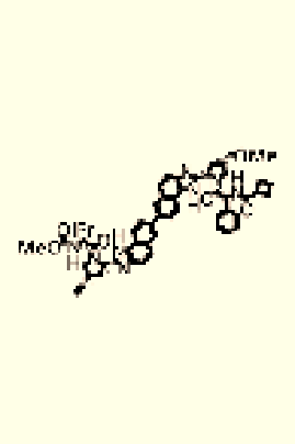 C#C[C@H]1C[C@@H](c2nc3ccc4cc(-c5ccc6c(ccc7nc([C@@H]8C[C@H](COC)CN8C(=O)[C@H](NC(=O)C8CCC8)c8ccccc8)[nH]c76)c5)ccc4c3[nH]2)N(C(=O)[C@@H](NC(=O)OC)C(C)C)C1